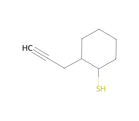 C#CCC1CCCCC1S